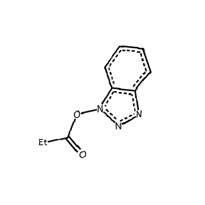 CCC(=O)On1nnc2ccccc21